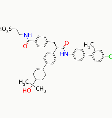 Cc1cc(Cl)ccc1-c1ccc(NC(=O)[C@H](Cc2ccc(C(=O)NCCS(=O)(=O)O)cc2)c2ccc(C3=CCC(C(C)(C)O)CC3)cc2)cc1